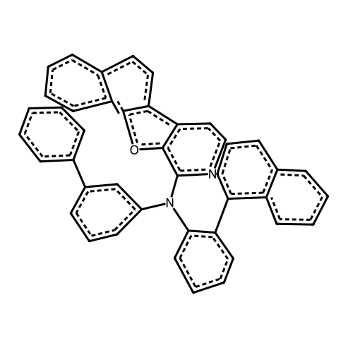 c1ccc(-c2cccc(N(c3ccccc3-c3cccc4ccccc34)c3nccc4c3oc3c5ccccc5ccc43)c2)cc1